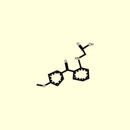 COc1ccc(C(=O)c2ccccc2NCC(=O)O)cc1